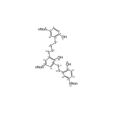 CCCCCCCCCc1ccc(O)c(SSSSc2cc(CCCCCCCCC)cc(SSc3cc(CCCCCCCCC)ccc3O)c2O)c1